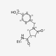 CCNC(=O)C1CC(=O)N(Cc2ccc(C(=O)O)cc2)C1